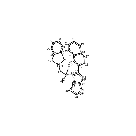 FC(F)(CN1Cc2ccccc2C1)c1c(-c2ccc3ccccc3c2)nc2occn12